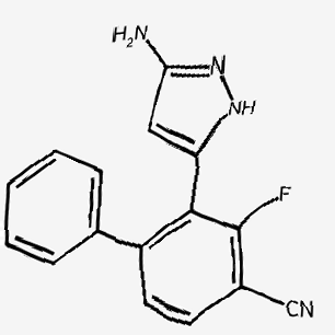 N#Cc1ccc(-c2ccccc2)c(-c2cc(N)n[nH]2)c1F